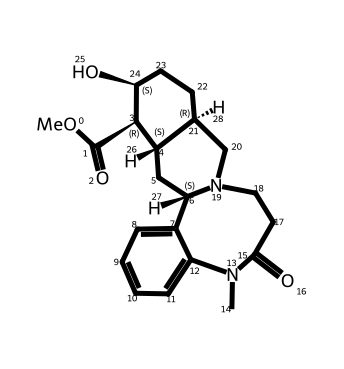 COC(=O)[C@@H]1[C@H]2C[C@H]3c4ccccc4N(C)C(=O)CCN3C[C@@H]2CC[C@@H]1O